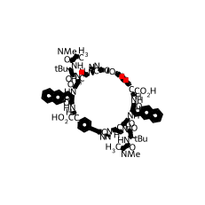 CN[C@@H](C)C(=O)N[C@H](C(=O)N1C[C@@H]2C[C@H]1C(=O)N[C@@H](Cc1ccc3ccccc3c1)C(=O)N[C@H](C(=O)O)Cc1ccc(cc1)-c1cn(nn1)[C@H]1C[C@@H](C(=O)N[C@@H](Cc3ccc4ccccc4c3)C(=O)N[C@H](C(=O)O)Cc3ccc(cc3)OCc3cn2nn3)N(C(=O)[C@@H](NC(=O)[C@H](C)NC)C(C)(C)C)C1)C(C)(C)C